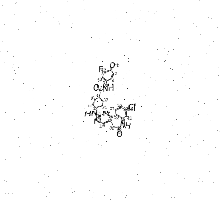 COc1ccc(NC(=O)c2ccc(Nc3ncc4c(n3)-c3ccc(Cl)cc3NC(=O)C4)cc2)cc1F